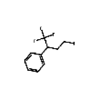 FC(F)(F)C(CCI)c1ccccc1